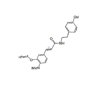 CCCCCOc1cc(/C=C/C(=O)NCCc2ccc(O)cc2)ccc1NC